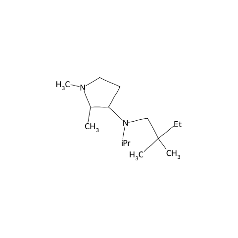 CCC(C)(C)CN(C(C)C)C1CCN(C)C1C